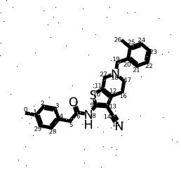 Cc1ccc(CC(=O)Nc2sc3c(c2C#N)CCN(Cc2ccccc2C)C3)cc1